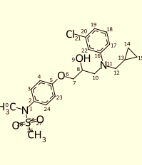 CN(c1ccc(OCC(O)CN(CC2CC2)c2cccc(Cl)c2)cc1)S(C)(=O)=O